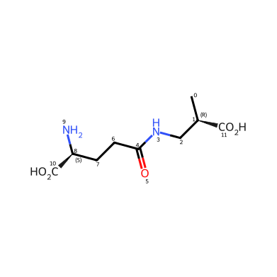 C[C@H](CNC(=O)CC[C@H](N)C(=O)O)C(=O)O